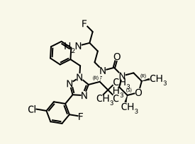 C[C@@H]1CN(C(=O)N(CCC(N)CF)[C@@H](c2nc(-c3cc(Cl)ccc3F)nn2Cc2ccccc2)C(C)(C)C)C[C@H](C)O1